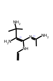 C=CNC(/N=C(\C)N)=C(\N)C(C)(C)N